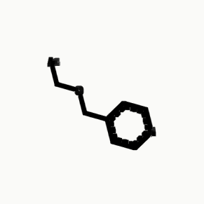 CC(=O)COCc1ccncc1